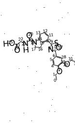 CCOc1ccc(C2N=C(c3cccc4c3CCN4C(=O)NCC(=O)O)SO2)cc1OCC